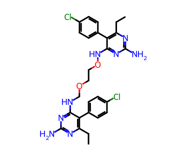 CCc1nc(N)nc(NCOCCONc2nc(N)nc(CC)c2-c2ccc(Cl)cc2)c1-c1ccc(Cl)cc1